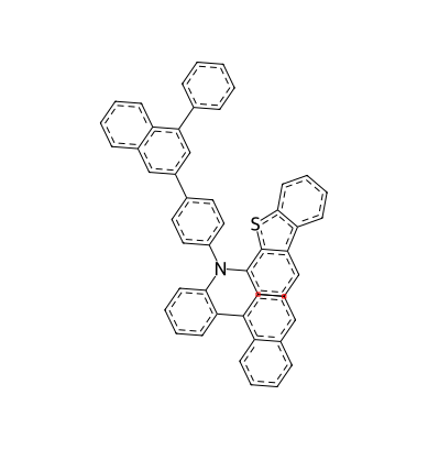 c1ccc(-c2cc(-c3ccc(N(c4ccccc4-c4cccc5ccccc45)c4cccc5c4sc4ccccc45)cc3)cc3ccccc23)cc1